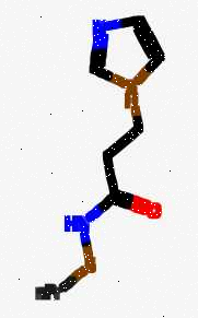 CCCSNC(=O)CC[SH]1C=CN=C1